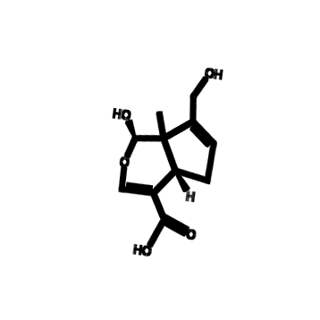 CC12C(CO)=CC[C@@H]1C(C(=O)O)=CO[C@H]2O